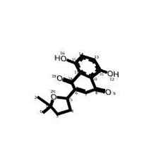 CC1(C)CCC(C2=CC(=O)c3c(O)ccc(O)c3C2=O)O1